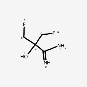 N=C(N)C(O)(CF)CF